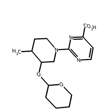 CC1CCN(c2nccc(C(=O)O)n2)CC1OC1CCCCO1